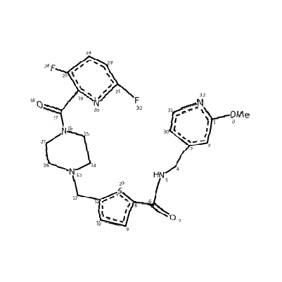 COc1cc(CNC(=O)c2ccc(CN3CCN(C(=O)c4nc(F)ccc4F)CC3)s2)ccn1